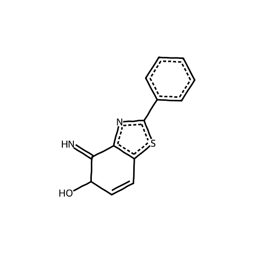 N=C1c2nc(-c3ccccc3)sc2C=CC1O